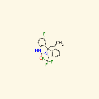 C=CCC1(c2ccccc2)c2cc(F)ccc2NC(=O)N1CC(F)(F)F